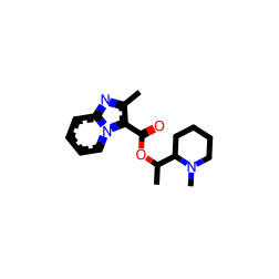 Cc1nc2ccccn2c1C(=O)OC(C)C1CCCCN1C